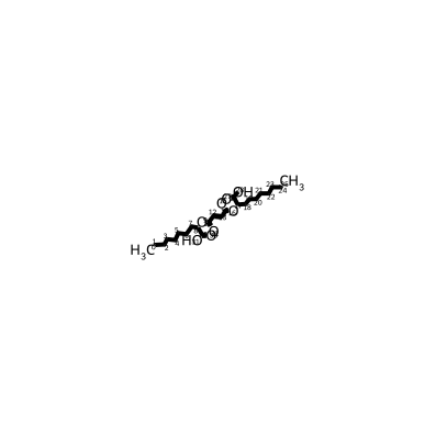 CCCCCCCCC(OC(=O)/C=C/C(=O)OC(CCCCCCCC)C(=O)O)C(=O)O